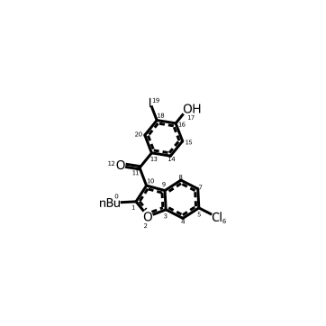 CCCCc1oc2cc(Cl)ccc2c1C(=O)c1ccc(O)c(I)c1